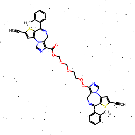 C#Cc1cc2c(s1)C(c1ccccc1C)=NCc1c(OOCCOCOCOC(=O)c3ncn4c3CN=C(c3ccccc3C)c3sc(C#C)cc3-4)ncn1-2